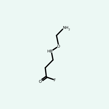 NCOBCCC(=O)F